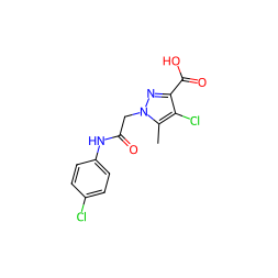 Cc1c(Cl)c(C(=O)O)nn1CC(=O)Nc1ccc(Cl)cc1